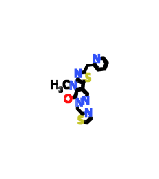 Cn1c2nc(Cc3ccccn3)sc2c2cnn(Cc3nccs3)c(=O)c21